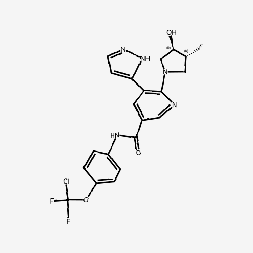 O=C(Nc1ccc(OC(F)(F)Cl)cc1)c1cnc(N2C[C@@H](O)[C@H](F)C2)c(-c2ccn[nH]2)c1